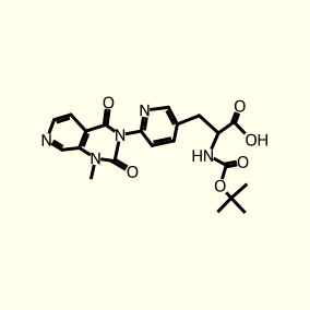 Cn1c(=O)n(-c2ccc(CC(NC(=O)OC(C)(C)C)C(=O)O)cn2)c(=O)c2ccncc21